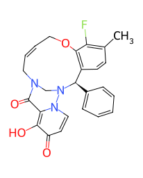 Cc1ccc2c(c1F)OC/C=C\CN1CN([C@@H]2c2ccccc2)n2ccc(=O)c(O)c2C1=O